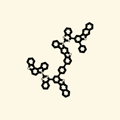 c1ccc(-c2cc(-c3nc(-n4c5ccccc5c5cc6c(cc54)oc4ccc(-c5ccc(-c7cc(-c8nc(-n9c%10ccccc%10c%10c%11c(ccc%109)oc9ccccc9%11)nc9ccccc89)cc8c7oc7cc9ccccc9cc78)cc5)cc46)nc4ccccc34)cc3c2oc2cc4ccccc4cc23)cc1